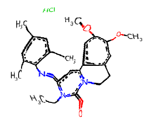 CCn1c(=Nc2c(C)cc(C)cc2C)cc2n(c1=O)CCc1cc(OC)c(OC)cc1-2.Cl